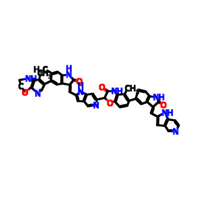 Cc1cc2c(cc1-c1cnc3c(c1C)NCCO3)/C(=C/c1cc3cnc(C4Oc5ccc(-c6ccc7c(c6)/C(=C/c6cc8cnccc8[nH]6)C(=O)N7)c(C)c5NC4=O)cc3[nH]1)C(=O)N2